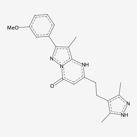 COc1cccc(-c2nn3c(=O)cc(CCc4c(C)n[nH]c4C)[nH]c3c2C)c1